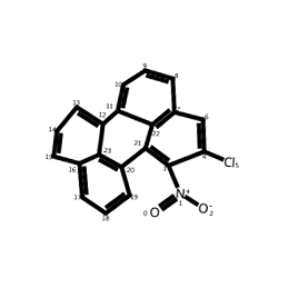 O=[N+]([O-])c1c(Cl)cc2cccc3c4cccc5cccc(c1c23)c54